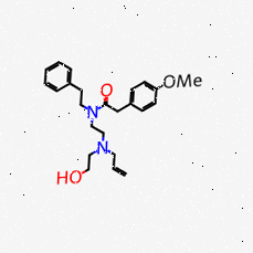 C=CCN(CCO)CCN(CCc1ccccc1)C(=O)Cc1ccc(OC)cc1